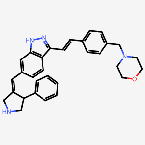 C(=C\c1n[nH]c2cc(/C=C3/CNCC3c3ccccc3)ccc12)/c1ccc(CN2CCOCC2)cc1